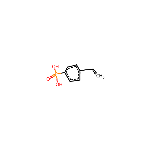 C=Cc1ccc(P(=O)(O)O)cc1